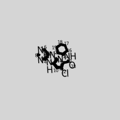 N=c1c(Nc2ccncn2)cc(Cl)c2n1C1(CCCCC1)NC2=O